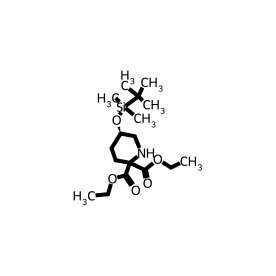 CCOC(=O)C1(C(=O)OCC)CC[C@H](O[Si](C)(C)C(C)(C)C)CN1